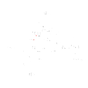 Cc1cc2c3c(c1)N(c1ccc(C(C)(C)C)cc1-c1ccccc1)c1c(ccc4c1sc1ccc(C(C)(C)C)cc14)B3c1ccc(N3c4ccc(C(C)(C)C)cc4C4(C)CCCCC34C)cc1N2c1cccc2c1oc1ccc(C(C)(C)C)cc12